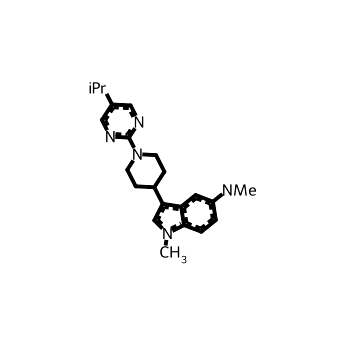 CNc1ccc2c(c1)c(C1CCN(c3ncc(C(C)C)cn3)CC1)cn2C